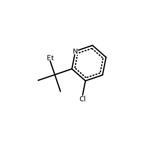 CCC(C)(C)c1ncccc1Cl